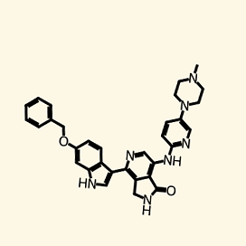 CN1CCN(c2ccc(Nc3cnc(-c4c[nH]c5cc(OCc6ccccc6)ccc45)c4c3C(=O)NC4)nc2)CC1